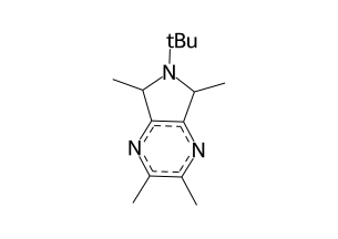 Cc1nc2c(nc1C)C(C)N(C(C)(C)C)C2C